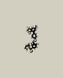 O=C(O)[C@@H]1CCCN1C(=O)c1cccc(COc2ccc(-c3cc(F)cc4c3OCC4)cc2)c1